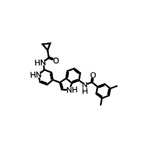 Cc1cc(C)cc(C(=O)Nc2cccc3c(C4=CC(NC(=O)C5CC5)NC=C4)c[nH]c23)c1